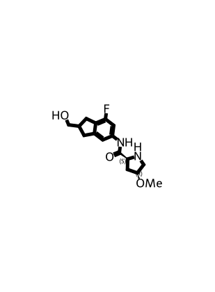 CO[C@H]1CN[C@H](C(=O)Nc2cc(F)c3c(c2)CC(CO)C3)C1